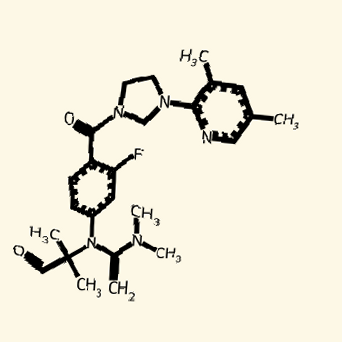 C=C(N(C)C)N(c1ccc(C(=O)N2CCN(c3ncc(C)cc3C)C2)c(F)c1)C(C)(C)C=O